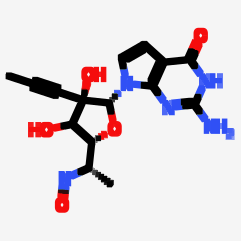 CC#C[C@@]1(O)C(O)[C@@H]([C@H](C)N=O)O[C@H]1n1ccc2c(=O)[nH]c(N)nc21